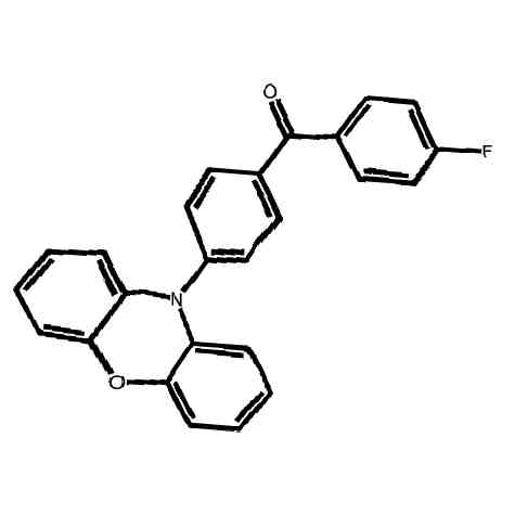 O=C(c1ccc(F)cc1)c1ccc(N2c3ccccc3Oc3ccccc32)cc1